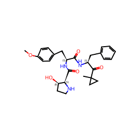 COc1ccc(C[C@H](NC(=O)[C@H]2NCC[C@H]2O)C(=O)N[C@@H](Cc2ccccc2)C(=O)C2(C)CC2)cc1